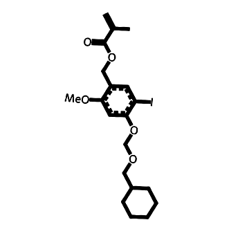 C=C(C)C(=O)OCc1cc(I)c(OCOCC2CCCCC2)cc1OC